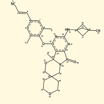 Cc1cc(/C=C/C#N)cc(C)c1Oc1nc(NC23CC(C#N)(C2)C3)nc2c1C1(C)OCC3(CCOCC3)CN1C2=O